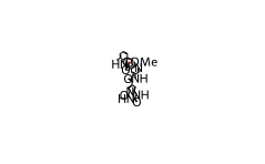 COc1ncc(NC(=O)c2cc3[nH]c(=O)[nH]c(=O)n3c2)cc1S(=O)(=O)Nc1c(C)cccc1C